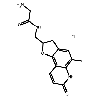 Cc1cc2c(c3ccc(=O)[nH]c13)OC(CNC(=O)CN)C2.Cl